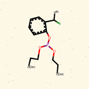 CCCCCCCCCCCCOP(OCCCCCCCCCCCC)Oc1ccccc1C(F)CCC